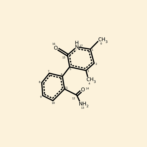 Cc1cc(C)c(-c2ccccc2C(N)=O)c(=O)[nH]1